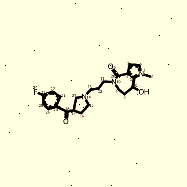 Cn1ccc2c1C(O)CCN(CCCN1CCC(C(=O)c3ccc(F)cc3)C1)C2=O